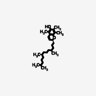 Cc1c(C)c2c(c(C)c1O)C=C[C@@H](CCC[C@@H](C)CCC[C@@H](C)CCCC(C)C)O2